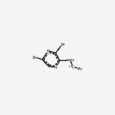 C[13C](=O)[13CH2]Nc1ncc(Br)nc1Br